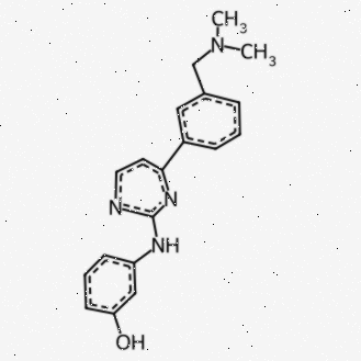 CN(C)Cc1cccc(-c2ccnc(Nc3cccc(O)c3)n2)c1